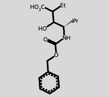 CCC(C(=O)O)C(O)[C@@H](NC(=O)OCc1ccccc1)C(C)C